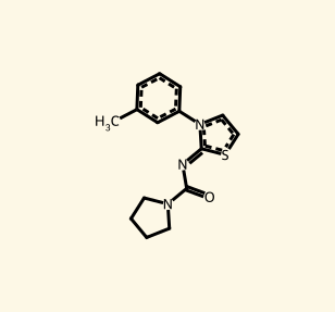 Cc1cccc(-n2ccsc2=NC(=O)N2CCCC2)c1